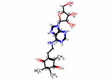 CC1=C(C)C(=O)C(CCNc2ncnc3c2ncn3C2OC(CO)C(O)C2O)=C(C)C1=O